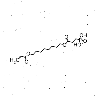 C=CC(=O)OCCCCCCCCOC(=O)CCP(=O)(O)O